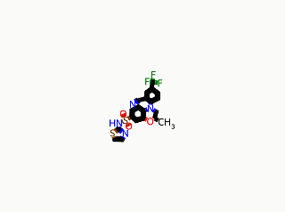 CC1CN(c2ccc(C(F)(F)F)cc2C#N)c2ccc(S(=O)(=O)Nc3nccs3)cc2O1